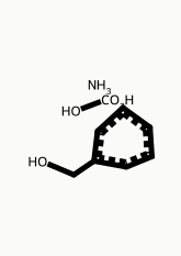 N.O=C(O)O.OCc1ccccc1